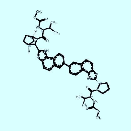 COC(=O)N[C@H](C(=O)N1CCC[C@H]1c1nc2ccc3cc(-c4ccc5c(ccc6nc(C7[C@H]8CC[C@H](C8)N7C(=O)[C@@H](NC(=O)OC)C(C)C)[nH]c65)c4)ccc3c2[nH]1)C(C)C